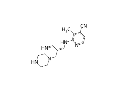 Cc1c(C#N)ccnc1N/C=C(\C=N)CN1CCNCC1